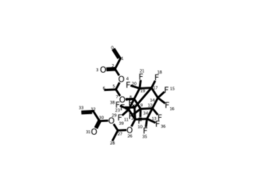 C=CC(=O)OC(C)OC12C(F)(F)C3(F)C(F)(F)C(F)(C1(F)F)C(F)(F)C(OC(C)OC(=O)C=C)(C3(F)F)C2(F)F